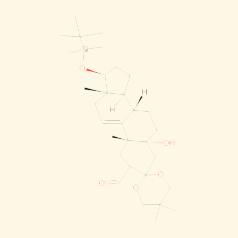 CC1(C)COC2(C[C@]3(O)CC[C@@H]4C(=CC[C@]5(C)[C@@H](O[Si](C)(C)C(C)(C)C)CC[C@@H]45)[C@@]3(C)CC2C=O)OC1